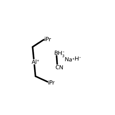 CC(C)[CH2][Al+][CH2]C(C)C.[BH3-]C#N.[H-].[Na+]